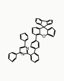 c1ccc(-c2cc(-c3ccccc3)nc(-c3ccccc3-c3ccc(-c4cccc5c4Oc4ccccc4C54c5ccccc5-c5ccccc54)cc3)n2)cc1